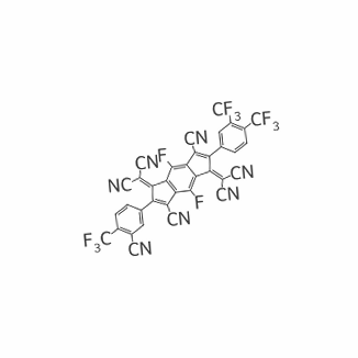 N#CC(C#N)=C1C(c2ccc(C(F)(F)F)c(C#N)c2)=C(C#N)c2c(F)c3c(c(F)c21)C(C#N)=C(c1ccc(C(F)(F)F)c(C(F)(F)F)c1)C3=C(C#N)C#N